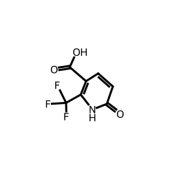 O=C(O)c1ccc(=O)[nH]c1C(F)(F)F